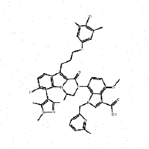 COc1ccc(N2CC(C)n3c(c(CCCOc4cc(C)c(Cl)c(C)c4)c4ccc(Cl)c(-c5c(C)nn(C)c5C)c43)C2=O)c2c1c(C(=O)O)cn2Cc1cccc(C)n1